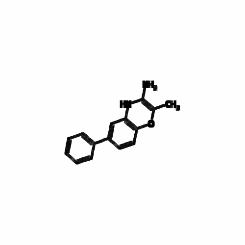 CC1=C(N)Nc2cc(-c3ccccc3)ccc2O1